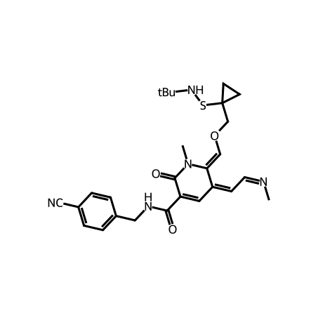 C\N=C/C=c1/cc(C(=O)NCc2ccc(C#N)cc2)c(=O)n(C)/c1=C\OCC1(SNC(C)(C)C)CC1